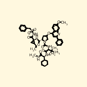 C=CC1C[C@]1(NC(=O)[C@@H]1CC(Oc2cc(-c3ccccc3)nc3cc(OC)ccc23)CN1C(=O)N[C@H](C(=O)N[C@H](C(=O)NC)C1CCCCC1)C(C)(C)C)C(=O)NS(=O)(=O)Cc1ccccc1